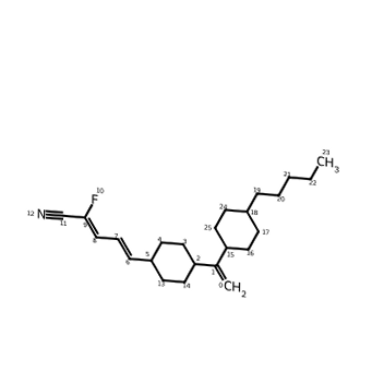 C=C(C1CCC(C=CC=C(F)C#N)CC1)C1CCC(CCCCC)CC1